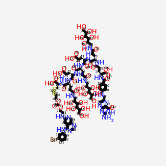 Nc1nc2ncc(CNc3ccc(C(=O)N[C@@H](CCC(=O)N[C@@H](CCC(=O)NC[C@H](O)[C@@H](O)[C@H](O)[C@H](O)CO)C(=O)N[C@@H](CCC(=O)O)C(=O)N[C@@H](CCC(=O)NC[C@H](O)[C@@H](O)[C@H](O)[C@H](O)CO)C(=O)N[C@@H](CCC(=O)O)C(=O)N[C@@H](CCC(=O)NC[C@H](O)[C@@H](O)[C@H](O)[C@H](O)CO)C(=O)N[C@@H](CSSCCOC(=O)OCCNc4cc5c(Nc6cccc(Br)c6)ncnc5cn4)C(=O)O)C(=O)O)cc3)nc2c(=O)[nH]1